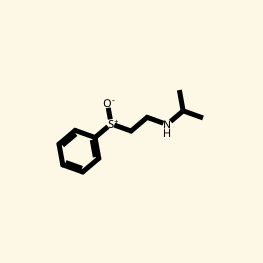 CC(C)NCC[S+]([O-])c1ccccc1